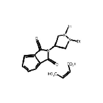 CCN1CC(N2C(=O)c3ccccc3C2=O)CN1CC.O=C(O)/C=C\C(=O)O